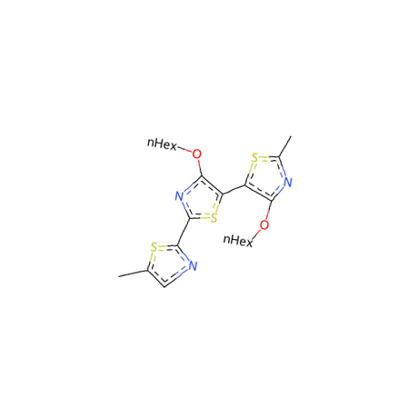 CCCCCCOc1nc(C)sc1-c1sc(-c2ncc(C)s2)nc1OCCCCCC